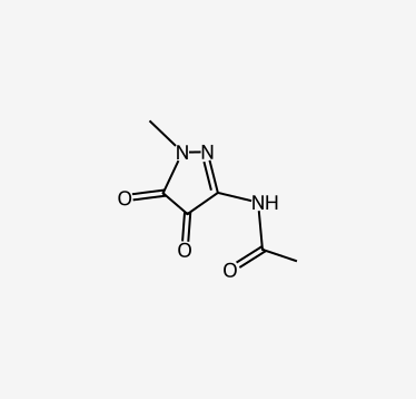 CC(=O)NC1=NN(C)C(=O)C1=O